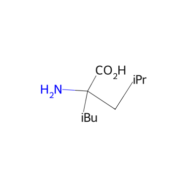 CCC(C)C(N)(CC(C)C)C(=O)O